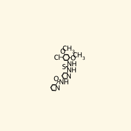 COc1cc(OC)c(NC(=S)Nc2ccc(NC(=O)c3ccccn3)cn2)cc1Cl